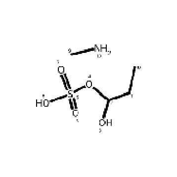 CCC(O)OS(=O)(=O)O.CN